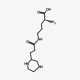 N[C@@H](CCCNC(=O)CCC1CNCCN1)C(=O)O